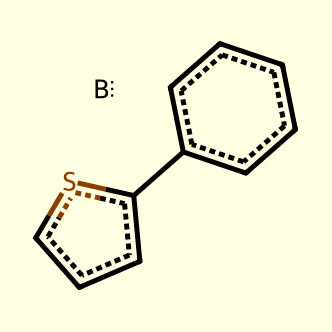 [B].c1ccc(-c2cccs2)cc1